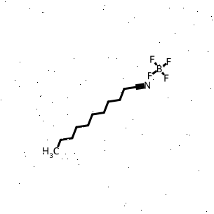 CCCCCCCCCCC#N.F[B-](F)(F)F